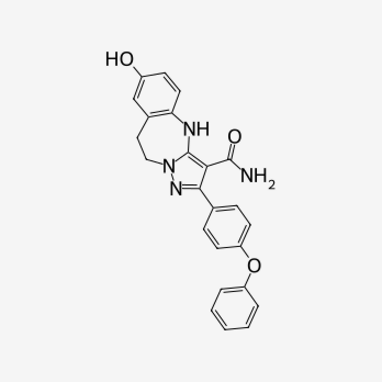 NC(=O)c1c(-c2ccc(Oc3ccccc3)cc2)nn2c1Nc1ccc(O)cc1CC2